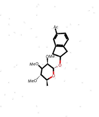 COC1[C@@H](OC)[C@H](OC2Cc3ccc(C(C)=O)cc3C2)O[C@@H](C)[C@@H]1OC